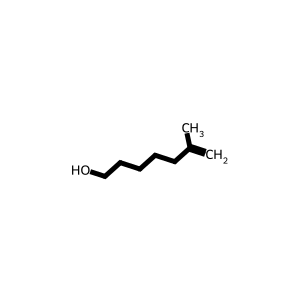 C=C(C)CCCCCO